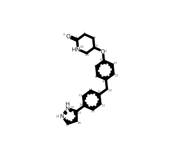 O=C1CCC(Oc2ccc(Cc3ccc(-c4ccn[nH]4)cc3)cc2)CN1